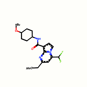 CCCCOC1CCC(NC(=O)c2ccn3c(C(F)F)cc(COC)nc23)CC1